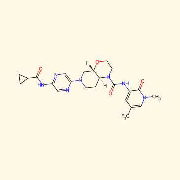 Cn1cc(C(F)(F)F)cc(NC(=O)N2CCO[C@H]3CN(c4cnc(NC(=O)C5CC5)cn4)CC[C@@H]32)c1=O